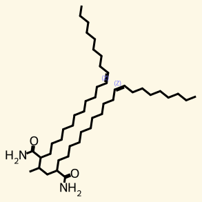 CCCCCCCC/C=C\CCCCCCCCCCC(CC(C)C(CCCCCCCCCC/C=C\CCCCCCCC)C(N)=O)C(N)=O